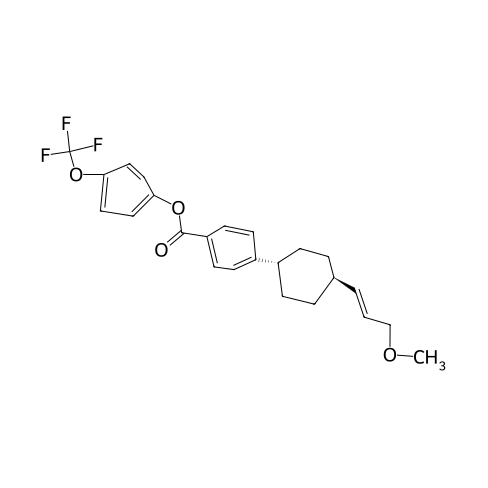 COCC=C[C@H]1CC[C@H](c2ccc(C(=O)Oc3ccc(OC(F)(F)F)cc3)cc2)CC1